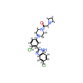 O=C(CN1CCC1)N1CCN(c2ccc(Cl)c(-c3nc4cc(Cl)ccc4[nH]3)c2)CC1